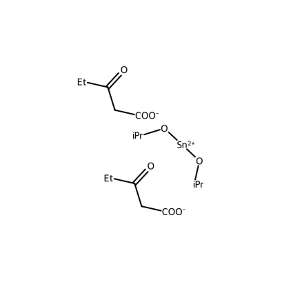 CC(C)[O][Sn+2][O]C(C)C.CCC(=O)CC(=O)[O-].CCC(=O)CC(=O)[O-]